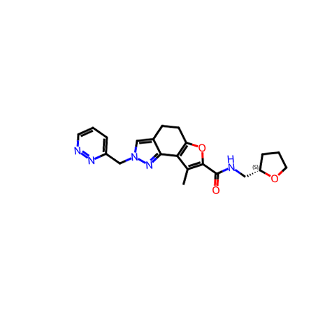 Cc1c(C(=O)NC[C@@H]2CCCO2)oc2c1-c1nn(Cc3cccnn3)cc1CC2